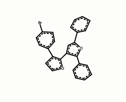 Brc1ccc(-c2ccoc2-c2cc(-c3ccccc3)oc2-c2ccccc2)cc1